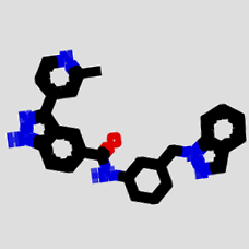 Cc1cc(-c2n[nH]c3ccc(C(=O)NC4CCCC(Cn5ncc6ccccc65)C4)cc23)ccn1